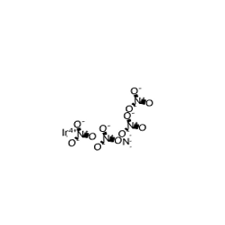 O=[N+]([O-])[O-].O=[N+]([O-])[O-].O=[N+]([O-])[O-].O=[N+]([O-])[O-].[Ir+4].[N]